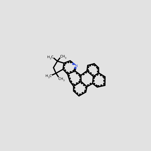 CC1(C)CC(C)(C)c2c1cnc1c2cc2cccc3c4cccc5cccc(c54)c1c23